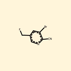 N#Cc1ncc(CF)cc1Br